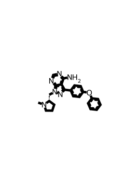 CN1CCC[C@H]1Cn1nc(-c2ccc(Oc3ccccc3)cc2)c2c(N)ncnc21